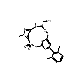 Cc1cccc(C)c1-c1cc2nc(n1)NS(=O)(=O)c1cc(nn1C)N[C@H](CC(C)(C)C)CO2